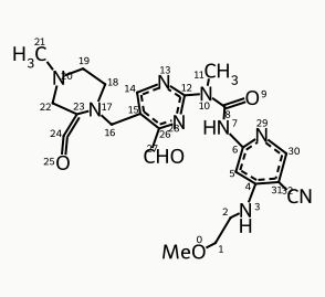 COCCNc1cc(NC(=O)N(C)c2ncc(CN3CCN(C)CC3=C=O)c(C=O)n2)ncc1C#N